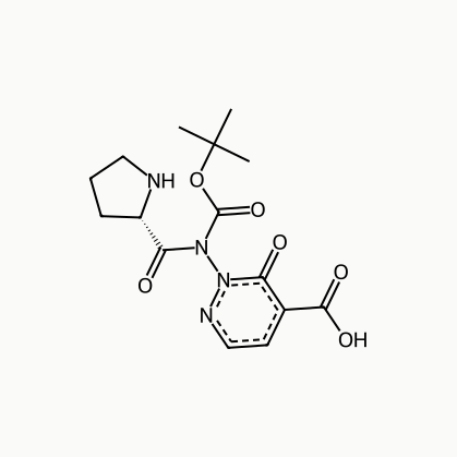 CC(C)(C)OC(=O)N(C(=O)[C@@H]1CCCN1)n1nccc(C(=O)O)c1=O